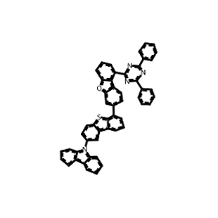 c1ccc(-c2nc(-c3ccccc3)nc(-c3cccc4oc5cc(-c6cccc7c6sc6ccc(-n8c9ccccc9c9ccccc98)cc67)ccc5c34)n2)cc1